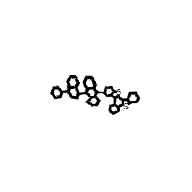 c1ccc(-c2ccc(-c3c4ccccc4c(-c4ccc5sc6c(c5c4)c4ccccc4c4sc5ccccc5c46)c4ccccc34)c3ccccc23)cc1